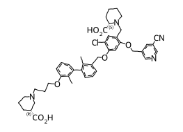 Cc1c(COc2cc(OCc3cncc(C#N)c3)c(CN3CCCC[C@H]3C(=O)O)cc2Cl)cccc1-c1cccc(OCCCN2CCC[C@@H](C(=O)O)C2)c1C